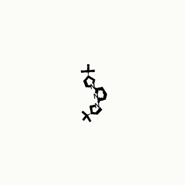 CC(C)(C)[C@H]1C=CN(c2cccc(N3C=C[C@H](C(C)(C)C)C3)n2)C1